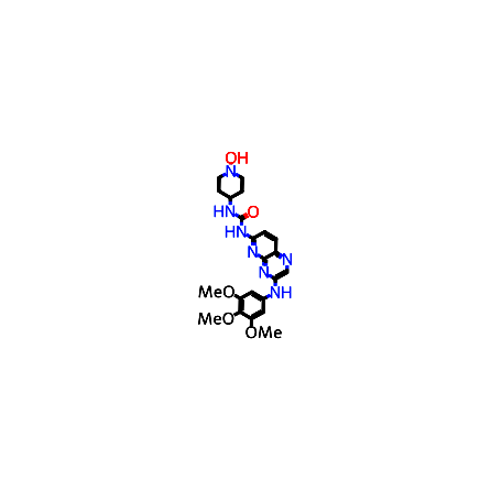 COc1cc(Nc2cnc3ccc(NC(=O)NC4CCN(O)CC4)nc3n2)cc(OC)c1OC